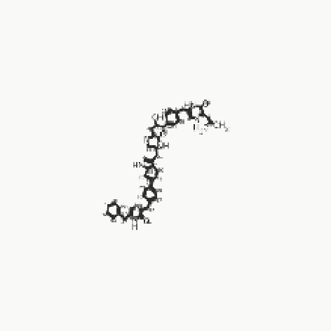 CC(C)Cc1ncc(Cc2ccc(CC(C)Cc3ncc(Cc4c[nH]c5cc(-c6ccc(Cc7ncc(Cc8ccccc8)[nH]c7=O)cc6)ccc45)[nH]c3=O)cc2)[nH]c1=O